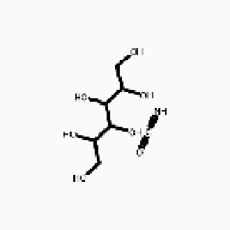 N=C=O.OCC(O)C(O)C(O)C(O)CO